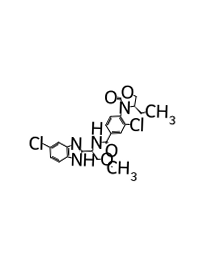 CC[C@@H]1COC(=O)N1c1ccc(C(=O)N[C@@H](COC)c2nc3cc(Cl)ccc3[nH]2)cc1Cl